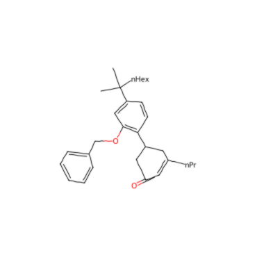 CCCCCCC(C)(C)c1ccc(C2CC(=O)C=C(CCC)C2)c(OCc2ccccc2)c1